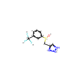 [O-][S+](Cc1c[nH]nn1)c1cccc(C(F)(F)F)c1